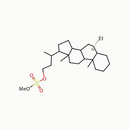 CC[C@H]1CC2C3CCC(C(C)CCOS(=O)(=O)OC)C3(C)CCC2C2(C)CCCCC12